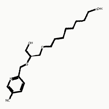 CCCCCCCCCCCCCCCCCCOC[C@H](CO)OCc1ccc(C#N)cn1